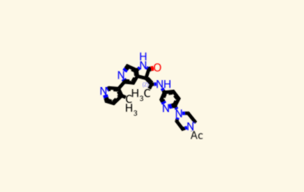 CC(=O)N1CCN(c2ccc(N/C(C)=C3\C(=O)Nc4cnc(-c5cnccc5C)cc43)cn2)CC1